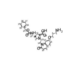 NCCCOc1ccc2ccc(=O)n(CCN3C[C@H](CNC(=O)OCc4ccccc4)C[C@H]3C(=O)O)c2c1